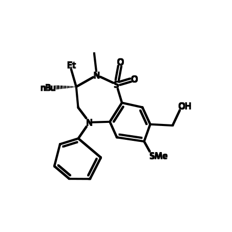 CCCC[C@@]1(CC)CN(c2ccccc2)c2cc(SC)c(CO)cc2S(=O)(=O)N1C